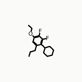 CCCc1cc(OCC)c(F)c(F)c1C1CCCCC1